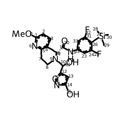 COc1ccc2c(n1)CCN(C(O)c1cc(O)no1)[C@H]2C(=O)Nc1cc(F)c([Si](C)(C)C)c(F)c1